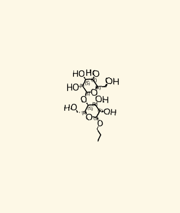 CCCO[C@H]1O[C@H](CO)[C@@H](O[C@@H]2O[C@H](CO)[C@H](O)[C@H](O)[C@H]2O)[C@H](O)[C@H]1O